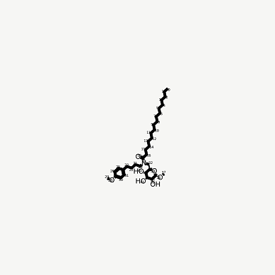 CCCCCCCCCCCCCCCCCC(=O)N(CCCCc1ccc(OC)cc1)C[C@H]1O[C@H](OC)[C@H](O)[C@@H](O)[C@@H]1O